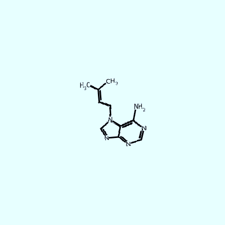 CC(C)=CCn1cnc2ncnc(N)c21